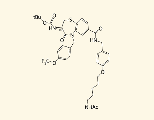 CC(=O)NCCCCCOc1ccc(CNC(=O)c2ccc3c(c2)N(Cc2ccc(OC(F)(F)F)cc2)C(=O)[C@@H](NC(=O)OC(C)(C)C)CS3)cc1